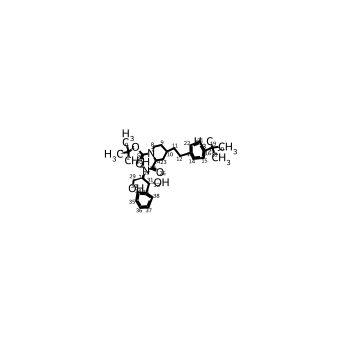 CC(C)(C)OC(=O)N1CCC(CCc2ccc(C(C)(C)C)cc2)CC1C(=O)N[C@H](CO)[C@H](O)c1ccccc1